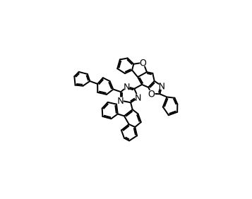 c1ccc(-c2ccc(-c3nc(-c4ccc5ccccc5c4-c4ccccc4)nc(-c4c5oc(-c6ccccc6)nc5cc5oc6ccccc6c45)n3)cc2)cc1